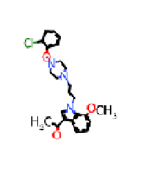 COc1cccc2c(C(C)=O)cn(CCCN3CCN(Oc4ccccc4Cl)CC3)c12